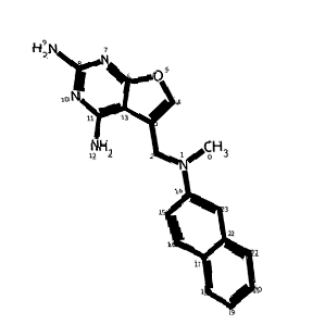 CN(Cc1coc2nc(N)nc(N)c12)c1ccc2ccccc2c1